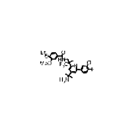 CCOc1ccc(C(=O)NCC(C)(c2cc(C(C)(C)N)cc(-c3ccc(F)c(Cl)c3)n2)C(F)(F)F)cc1OC